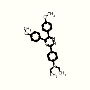 CCN(CC)c1ccc(-c2nnc(-c3ccc(OC)cc3)c(-c3ccc(OC)cc3)n2)cc1